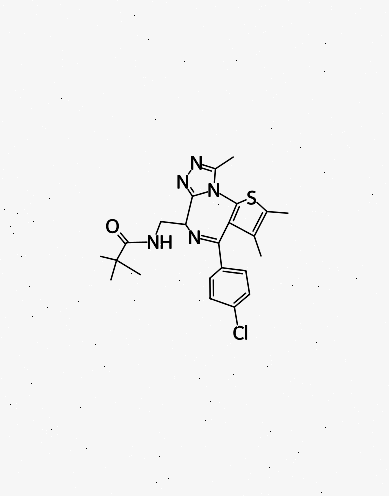 Cc1sc2c(c1C)C(c1ccc(Cl)cc1)=NC(CNC(=O)C(C)(C)C)c1nnc(C)n1-2